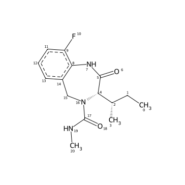 CC[C@H](C)[C@H]1C(=O)Nc2c(F)cccc2CN1C(=O)NC